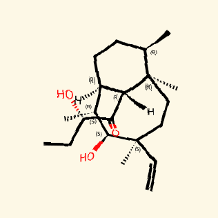 C=C[C@]1(C)CC[C@]2(C)[C@H](C)CC[C@H]([C@@H](C)[C@@H]1O)[C@H]2C(=O)[C@@H](O)CC